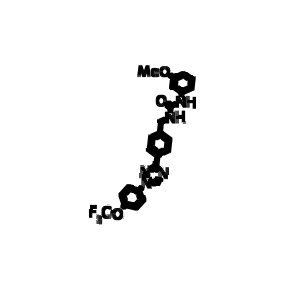 COc1cccc(NC(=O)NCc2ccc(-c3ncn(-c4ccc(OC(F)(F)F)cc4)n3)cc2)c1